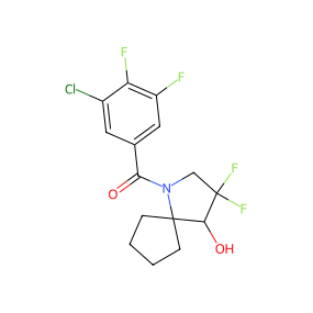 O=C(c1cc(F)c(F)c(Cl)c1)N1CC(F)(F)C(O)C12CCCC2